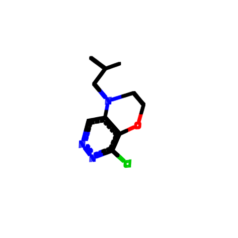 CC(C)CN1CCOc2c1cnnc2Cl